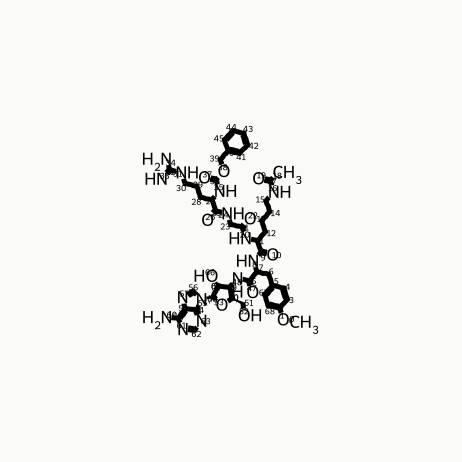 COc1ccc(CC(NC(=O)C(CCCCNC(C)=O)NC(=O)CNC(=O)C(CCCNC(=N)N)NC(=O)OCc2ccccc2)C(=O)NC2[C@@H](CO)O[C@@H](n3cnc4c(N)ncnc43)[C@H]2O)cc1